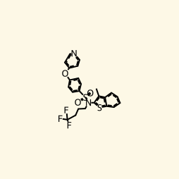 Cc1c(N(CCCC(F)(F)F)S(=O)(=O)c2ccc(Oc3ccncc3)cc2)sc2ccccc12